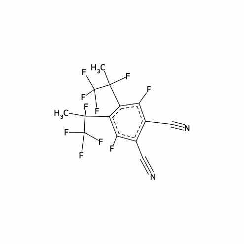 CC(F)(c1c(F)c(C#N)c(C#N)c(F)c1C(C)(F)C(F)(F)F)C(F)(F)F